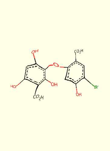 O=C(O)c1cc(Br)c(O)cc1Oc1c(O)cc(O)c(C(=O)O)c1O